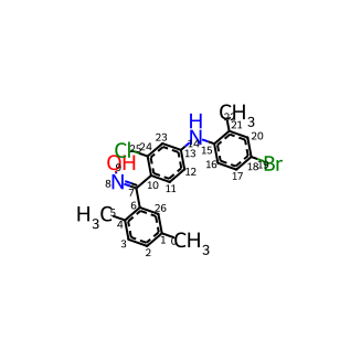 Cc1ccc(C)c(C(=NO)c2ccc(Nc3ccc(Br)cc3C)cc2Cl)c1